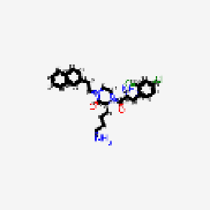 NCCCC[C@H]1C(=O)N(CCc2ccc3ccccc3c2)CCN1C(=O)[C@H](N)Cc1ccc(Cl)cc1Cl